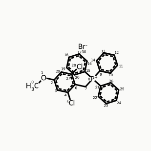 COc1cc(Cl)c(C[P+](c2ccccc2)(c2ccccc2)c2ccccc2)c(Cl)c1.[Br-]